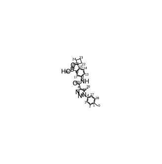 Cc1ccc(-n2nnc(C(=O)Nc3ccc4c(c3)B(O)OC43CCC3)c2C)cc1